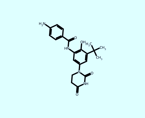 CC(C)(C)c1cc(N2CCC(=O)NC2=O)cc(NC(=O)c2ccc(N)cc2)c1O